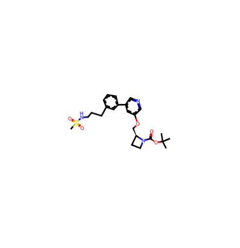 CC(C)(C)OC(=O)N1CC[C@H]1COc1cncc(-c2cccc(CCCNS(C)(=O)=O)c2)c1